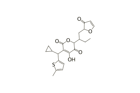 CCC(CC1OC=CC1=O)C1OC(=O)C(C(c2ccc(C)s2)C2CC2)=C(O)C1=O